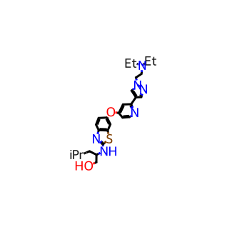 CCN(CC)CCn1cc(-c2cc(Oc3ccc4nc(NC(CO)CC(C)C)sc4c3)ccn2)cn1